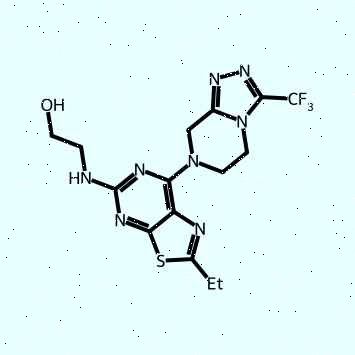 CCc1nc2c(N3CCn4c(nnc4C(F)(F)F)C3)nc(NCCO)nc2s1